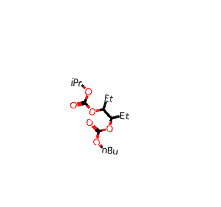 CCCCOC(=O)O[C](CC)C(CC)OC(=O)OC(C)C